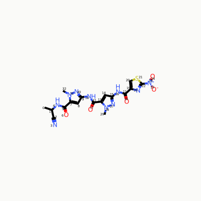 CC(C#N)NC(=O)c1cc(NC(=O)c2cc(NC(=O)c3csc([N+](=O)[O-])n3)nn2C)nn1C